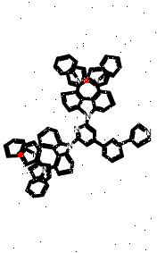 c1ccc(N(c2ccccc2)c2cccc3c2c2c(N(c4ccccc4)c4ccccc4)cccc2n3-c2cc(-c3cccc(-c4ccncc4)c3)cc(-n3c4cccc(N(c5ccccc5)c5ccccc5)c4c4c(N(c5ccccc5)c5ccccc5)cccc43)n2)cc1